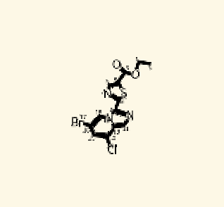 CCOC(=O)c1cnc(-c2ncc3c(Cl)cc(Br)cn23)s1